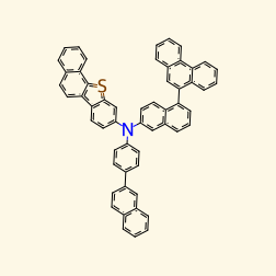 c1ccc2cc(-c3ccc(N(c4ccc5c(-c6cc7ccccc7c7ccccc67)cccc5c4)c4ccc5c(c4)sc4c6ccccc6ccc54)cc3)ccc2c1